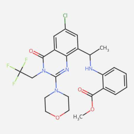 COC(=O)c1ccccc1NC(C)c1cc(Cl)cc2c(=O)n(CC(F)(F)F)c(N3CCOCC3)nc12